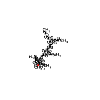 CCCCOC(=O)CCn1c(=O)n(CCC(=O)OC)c(=O)n(CCC(=O)OCCn2c(=O)n(CCCOCN3C(=O)N(COC)C4(CCC)N(COC)C(=O)N(COC)C34C)c(=O)n(CCOC)c2=O)c1=O